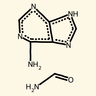 NC=O.Nc1ncnc2[nH]cnc12